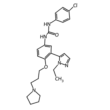 CCn1nccc1-c1cc(NC(=O)Nc2ccc(Cl)cc2)ccc1OCCCN1CCCC1